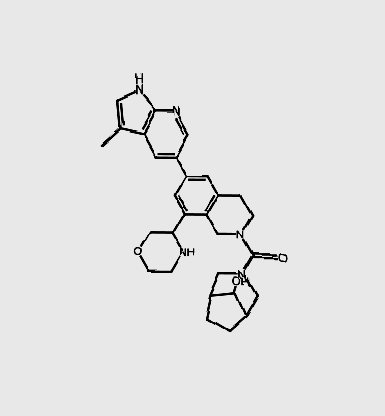 Cc1c[nH]c2ncc(-c3cc4c(c(C5COCCN5)c3)CN(C(=O)N3CC5CCC(C3)C5O)CC4)cc12